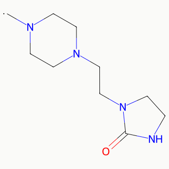 [CH2]N1CCN(CCN2CCNC2=O)CC1